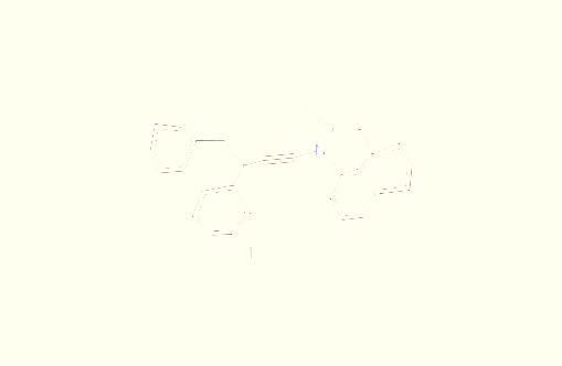 O=CN(C#CC(Cc1ccccc1)c1cccc(F)c1)c1cccc2cccc(I)c12